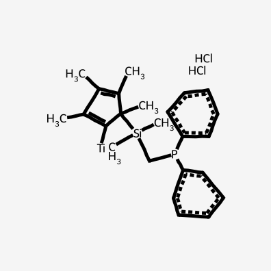 CC1=C(C)C(C)([Si](C)(C)CP(c2ccccc2)c2ccccc2)[C]([Ti])=C1C.Cl.Cl